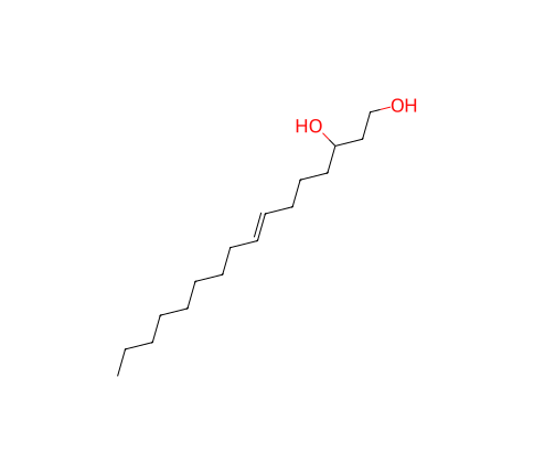 CCCCCCCCC=CCCCC(O)CCO